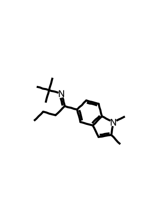 CCC/C(=N\C(C)(C)C)c1ccc2c(c1)cc(C)n2C